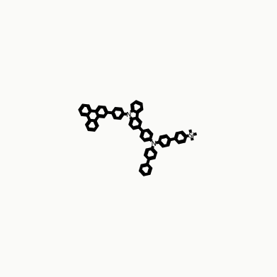 C[Si](C)(C)c1ccc(-c2ccc(N(c3ccc(-c4ccccc4)cc3)c3ccc(-c4ccc5c(c4)c4ccccc4n5-c4ccc(-c5ccc6c7ccccc7c7ccccc7c6c5)cc4)cc3)cc2)cc1